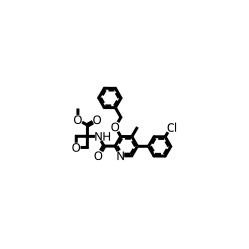 COC(=O)C1(NC(=O)c2ncc(-c3cccc(Cl)c3)c(C)c2OCc2ccccc2)COC1